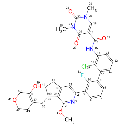 COc1nc(-c2cccc(-c3cccc(NC(=O)c4cn(C)c(=O)n(C)c4=O)c3Cl)c2F)cc2c1[C@H](CC1=C(O)COCC1)CC2